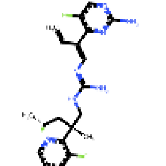 C=C/C(=C\N=C(/N)NC[C@@](C)(C[C@@H](C)F)c1ncccc1F)c1nc(N)ncc1F